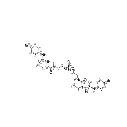 CC(C)C[C@H](NC(=O)Nc1ccc(Br)cc1)C(=O)NCCO[PH](=O)OCCNC(=O)[C@H](CC(C)C)NC(=O)Nc1ccc(Br)cc1